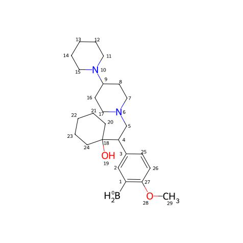 Bc1cc(C(CN2CCC(N3CCCCC3)CC2)C2(O)CCCCC2)ccc1OC